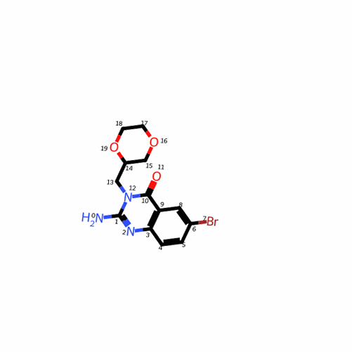 Nc1nc2ccc(Br)cc2c(=O)n1CC1COCCO1